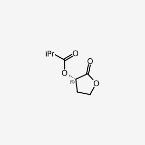 CC(C)C(=O)O[C@H]1CCOC1=O